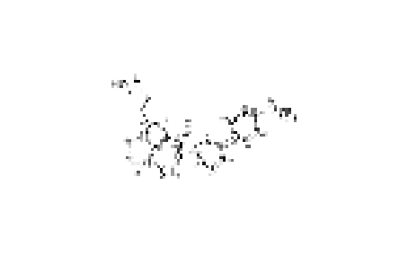 Cc1cccc2c(CCC(=O)O)cn(S(=O)(=O)c3cccc(-c4ccc(OC(F)(F)F)cc4)c3)c12